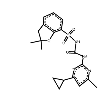 Cc1cc(C2CC2)nc(NC(=O)NS(=O)(=O)c2cccc3c2OC(C)(C)C3)n1